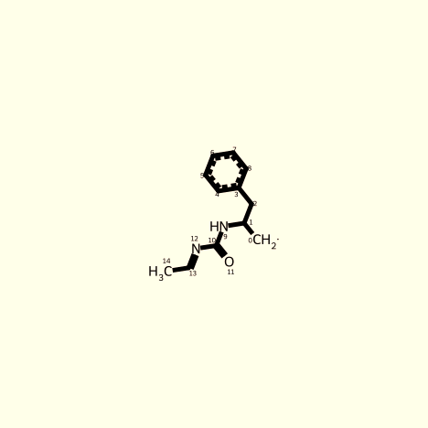 [CH2]C(Cc1ccccc1)NC(=O)N=CC